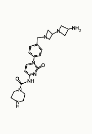 NC1CN(C2CN(Cc3ccc(-n4ccc(NC(=O)N5CCNCC5)nc4=O)cc3)C2)C1